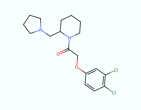 O=C(COc1ccc(Cl)c(Cl)c1)N1CCCCC1CN1CCCC1